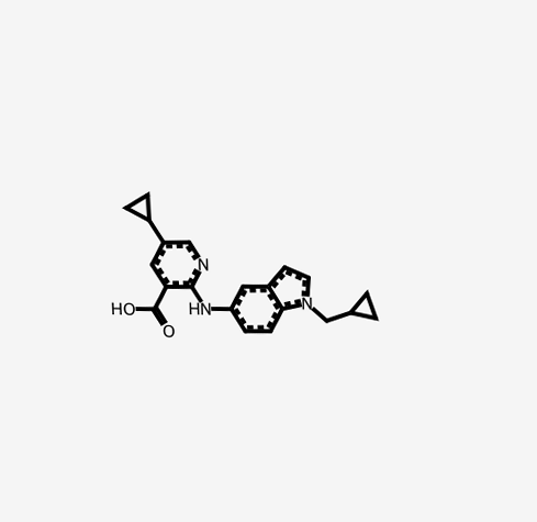 O=C(O)c1cc(C2CC2)cnc1Nc1ccc2c(ccn2CC2CC2)c1